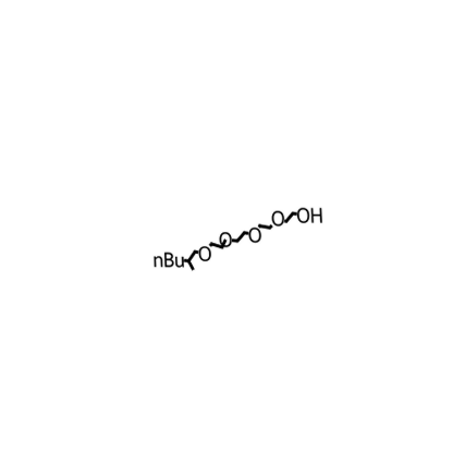 CCCCC(C)COCCOCCOCCOCCO